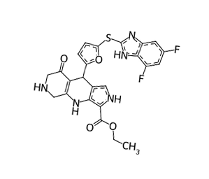 CCOC(=O)c1[nH]cc2c1NC1=C(C(=O)CNC1)C2c1ccc(Sc2nc3cc(F)cc(F)c3[nH]2)o1